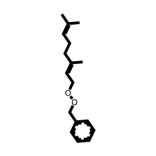 CC(C)=CCC/C(C)=C/COOCc1ccccc1